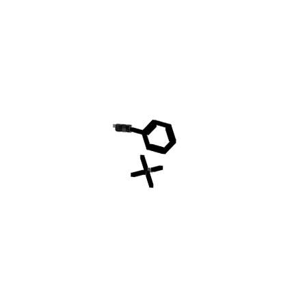 C[N+](C)(C)C.O=C([O-])c1ccccc1